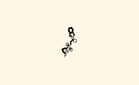 O=C(CCS(=O)(=O)c1cccc(F)n1)N1Cc2ccccc2C1